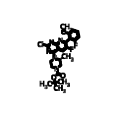 COc1cccc(F)c1-c1nc2nc(Cl)nc(N3CCN(C(=O)OC(C)(C)C)C[C@H]3C)c2cc1F